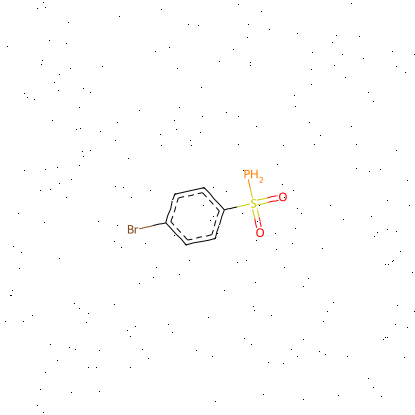 O=S(=O)(P)c1ccc(Br)cc1